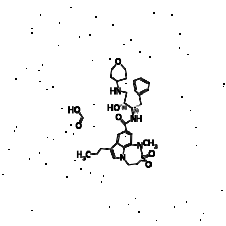 CCCc1cn2c3c(cc(C(=O)N[C@@H](Cc4ccccc4)[C@H](O)CNC4CCOCC4)cc13)N(C)S(=O)(=O)CC2.O=CO